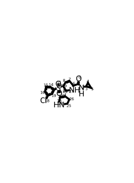 O=C(NC1CC1)C1C=C[C@@H](S(=O)(=O)c2cccc(Cl)c2)[C@@H](C2=CCNCC2)N1